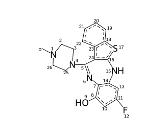 CN1CCN(C2=Nc3c(O)cc(F)cc3Nc3sc4ccccc4c32)CC1